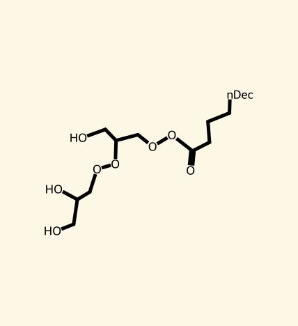 CCCCCCCCCCCCCC(=O)OOCC(CO)OOCC(O)CO